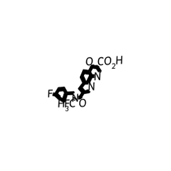 CN(Cc1ccc(F)cc1F)C(=O)c1cnc2c3c(ccc2c1)C(=O)C(C(=O)O)C=N3